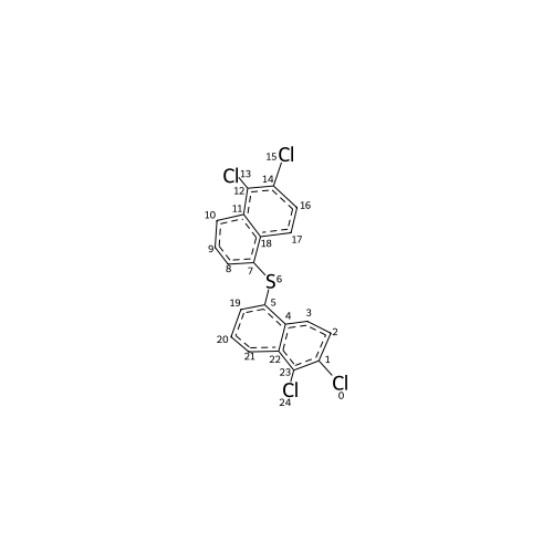 Clc1ccc2c(Sc3cccc4c(Cl)c(Cl)ccc34)cccc2c1Cl